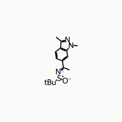 C/C(=N\[S+]([O-])C(C)(C)C)c1ccc2c(C)nn(C)c2c1